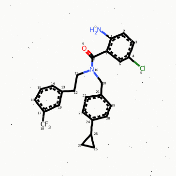 Nc1ccc(Cl)cc1C(=O)N(CCc1cccc(C(F)(F)F)c1)Cc1ccc(C2CC2)cc1